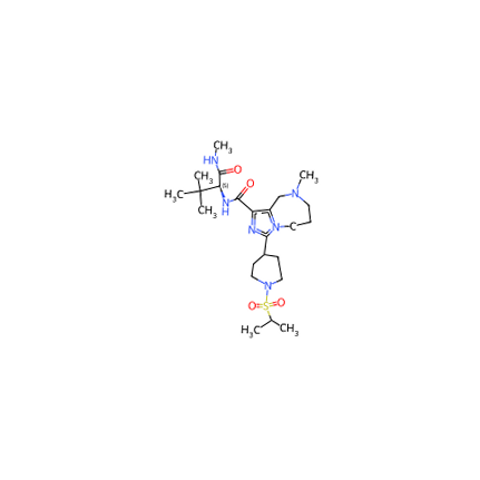 CNC(=O)[C@@H](NC(=O)c1nc(C2CCN(S(=O)(=O)C(C)C)CC2)n2c1CN(C)CCC2)C(C)(C)C